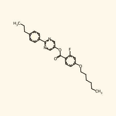 CCCCCCOc1ccc(C(=O)Oc2cnc(-c3ccc(CCC)cc3)nc2)c(F)c1